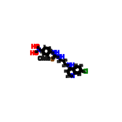 COc1cc(N(O)O)ccc1NC(=S)NCCCNc1ccnc2cc(Cl)ccc12